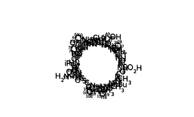 CCCC[C@H]1C(=O)N(C)CC(=O)N[C@@H](CC(=O)O)C(=O)N[C@@H](C(C)C)C(=O)N(C)[C@@H](Cc2ccccc2)C(=O)N[C@@H](Cc2ccc(O)cc2)C(=O)N2[C@H](CCC2(C)C)C(=O)N[C@@H](Cc2c[nH]c3ccccc23)C(=O)N[C@@H](Cc2ccc(O)cc2)C(=O)N[C@@H](CC(C)C)C(=O)N[C@H](C(=O)NCC(N)=O)CSCC(=O)N[C@@H](Cc2ccccc2)C(=O)N(C)[C@@H](Cc2ccccc2)C(=O)N1C